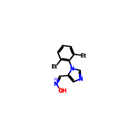 CCc1cccc(CC)c1-n1cncc1/C=N\O